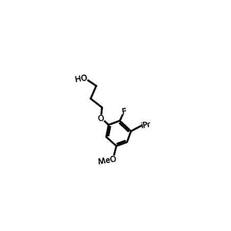 COc1cc(OCCCO)c(F)c(C(C)C)c1